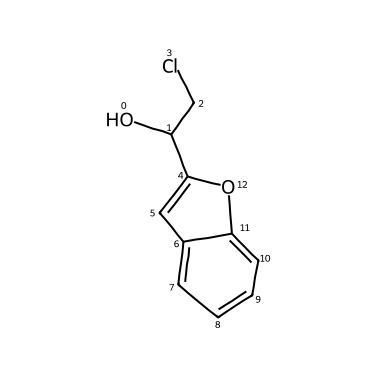 OC(CCl)c1cc2ccccc2o1